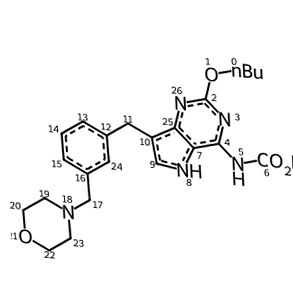 CCCCOc1nc(NC(=O)O)c2[nH]cc(Cc3cccc(CN4CCOCC4)c3)c2n1